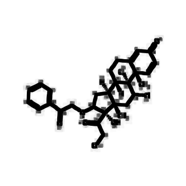 C[C@]12C=CC(=O)C=C1CC[C@H]1[C@@H]3CC(OCC(=O)c4ccccc4)[C@](O)(C(=O)CCl)[C@@]3(C)CC(Cl)[C@@]12Cl